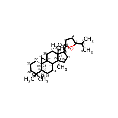 CC(C)C1CC[C@](C)(C2CC[C@@]3(C)C4CC[C@H]5C(C)(C)CCC[C@@]56C[C@@]46CC[C@]23C)O1